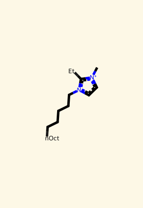 CCCCCCCCCCCCCn1cc[n+](C)c1CC